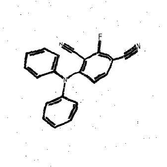 N#Cc1ccc(N(c2ccccc2)c2ccccc2)c(C#N)c1F